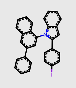 Ic1ccc(-c2cc3ccccc3n2-c2cc(-c3ccccc3)cc3ccccc23)cc1